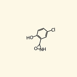 Oc1ccc(Cl)cc1C1NO1